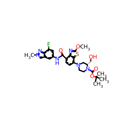 COc1nc2c(C(=O)Nc3cc(F)c4nn(C)cc4c3)ccc(N3CCN(C(=O)OC(C)(C)C)[C@@H](CO)C3)c2s1